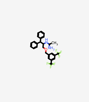 CC(N)NC(COCc1cc(C(F)(F)F)cc(C(F)(F)F)c1)C(c1ccccc1)c1ccccc1